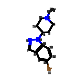 CC(C)N1CCC(n2ncc3cc(Br)ccc32)CC1